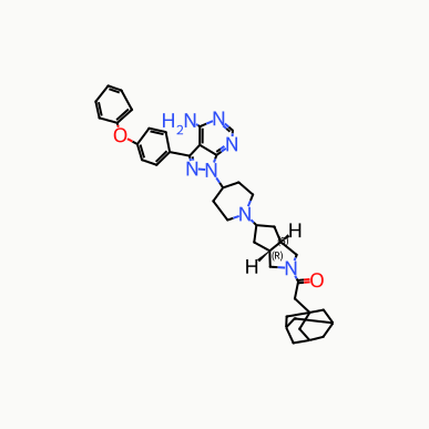 Nc1ncnc2c1c(-c1ccc(Oc3ccccc3)cc1)nn2C1CCN(C2C[C@@H]3CN(C(=O)CC45CC6CC(CC(C6)C4)C5)C[C@@H]3C2)CC1